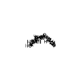 COc1ccc(-c2ccc(C(C)NC(=O)c3ccc(-c4nc(C)cc(Nc5cc(C(C)(C)O)[nH]n5)n4)cn3)cn2)cn1